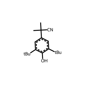 CC(C)(C)c1cc(C(C)(C)C#N)cc(C(C)(C)C)c1O